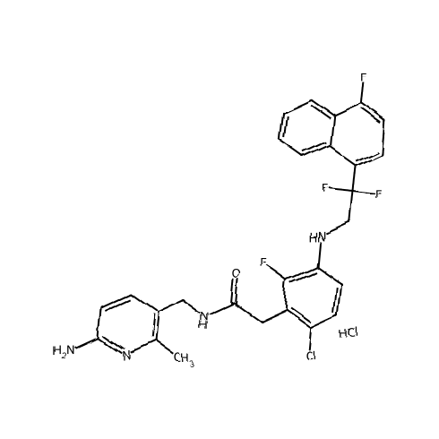 Cc1nc(N)ccc1CNC(=O)Cc1c(Cl)ccc(NCC(F)(F)c2ccc(F)c3ccccc23)c1F.Cl